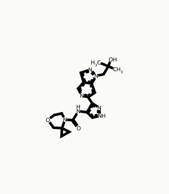 CC(C)(O)Cn1ncc2cnc(-c3n[nH]cc3NC(=O)N3CCOCC34CC4)cc21